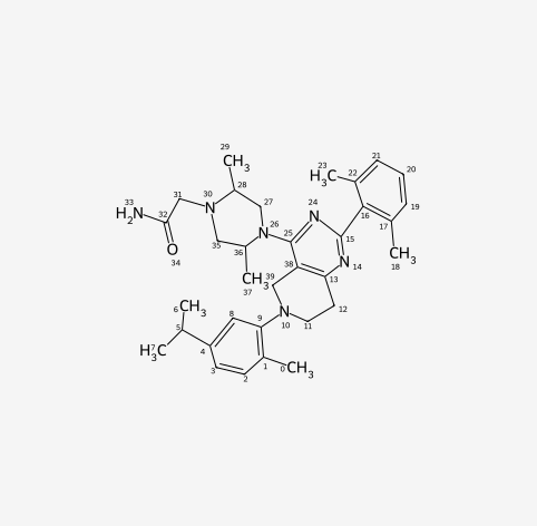 Cc1ccc(C(C)C)cc1N1CCc2nc(-c3c(C)cccc3C)nc(N3CC(C)N(CC(N)=O)CC3C)c2C1